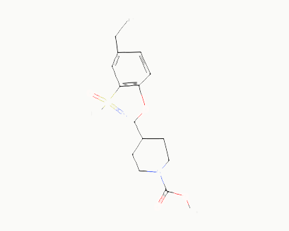 CC(C)Cc1ccc(OCC2CCN(C(=O)OC(C)(C)C)CC2)c(S(C)(=N)=O)c1